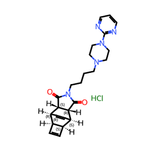 Cl.O=C1[C@@H]2[C@@H]3C=C[C@@H]([C@@H]4C=C[C@@H]43)[C@@H]2C(=O)N1CCCCN1CCN(c2ncccn2)CC1